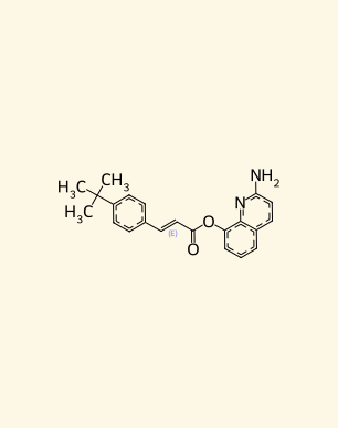 CC(C)(C)c1ccc(/C=C/C(=O)Oc2cccc3ccc(N)nc23)cc1